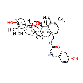 C[C@H]1[C@H](C)CC[C@]2(COC(=O)/C=C\c3ccc(O)cc3)CC[C@]3(C(=O)O)C(=CC[C@@H]4[C@@]5(C)CC[C@H](O)C(C)(C)[C@@H]5CC[C@]43C)[C@H]12